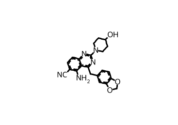 N#Cc1ccc2nc(N3CCC(O)CC3)nc(Cc3ccc4c(c3)OCO4)c2c1N